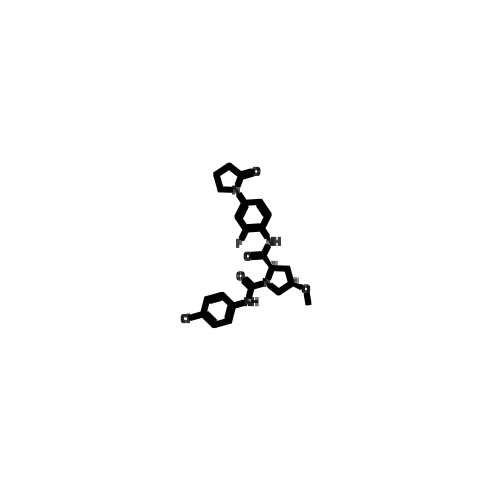 CO[C@@H]1C[C@H](C(=O)Nc2ccc(N3CCCC3=O)cc2F)N(C(=O)Nc2ccc(Cl)cc2)C1